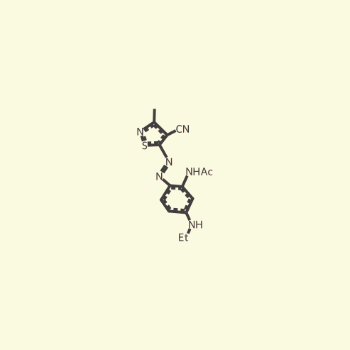 CCNc1ccc(N=Nc2snc(C)c2C#N)c(NC(C)=O)c1